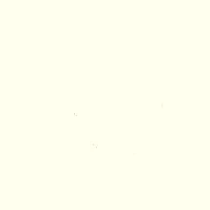 Nc1cccc(C(=O)O)c1N.O=C(O)c1ccccc1